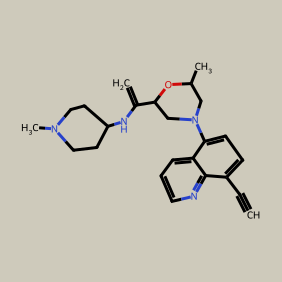 C#Cc1ccc(N2CC(C)OC(C(=C)NC3CCN(C)CC3)C2)c2cccnc12